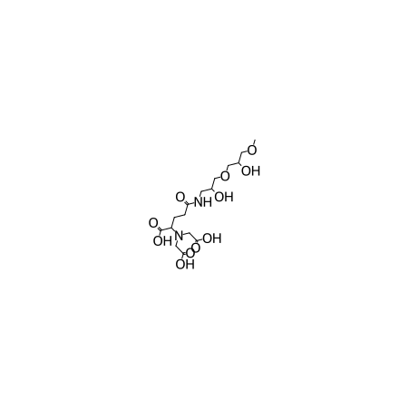 COCC(O)COCC(O)CNC(=O)CCC(C(=O)O)N(CC(=O)O)CC(=O)O